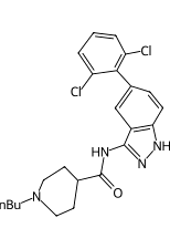 CCCCN1CCC(C(=O)Nc2n[nH]c3ccc(-c4c(Cl)cccc4Cl)cc23)CC1